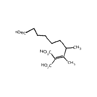 CCCCCCCCCCCCCCCC(C)C(C)=C(C(=O)O)C(=O)O